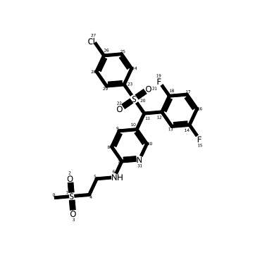 CS(=O)(=O)CCNc1ccc(C(c2cc(F)ccc2F)S(=O)(=O)c2ccc(Cl)cc2)cn1